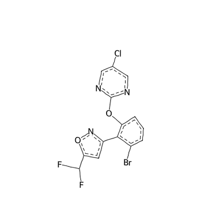 FC(F)c1cc(-c2c(Br)cccc2Oc2ncc(Cl)cn2)no1